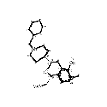 CNC[C@@H]1O[C@H](C2CCN(CC3CCCCC3)CC2)Cc2c1ccc(C)c2O